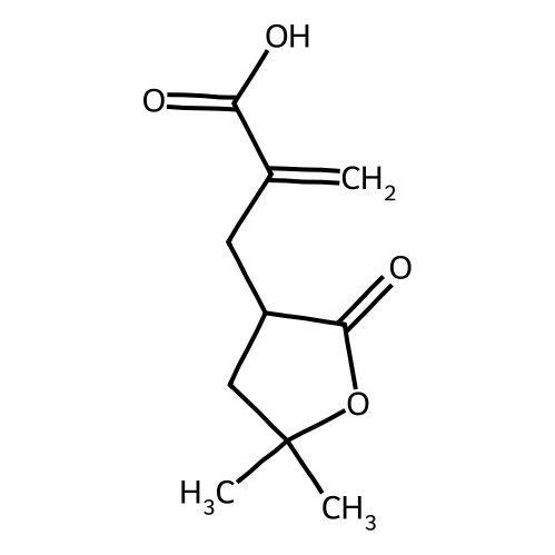 C=C(CC1CC(C)(C)OC1=O)C(=O)O